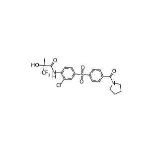 CC(O)(C(=O)Nc1ccc(S(=O)(=O)c2ccc(C(=O)N3CCCC3)cc2)cc1Cl)C(F)(F)F